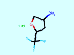 Cl.NC1COC(C(F)(F)F)C1